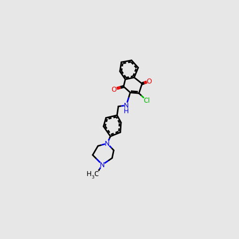 CN1CCN(c2ccc(CNC3=C(Cl)C(=O)c4ccccc4C3=O)cc2)CC1